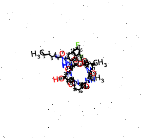 CCCC/C=C/C(=O)N[C@@H](Cc1cc(F)cc(F)c1)C(=O)N[C@@H]1C(=O)N2C[C@H](O)C[C@H]2C(=O)N2CCCC[C@H]2C(=O)N[C@@H](C)C(=O)N2C[C@@H](C)C[C@H]2C(=O)O[C@H]1C